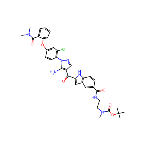 CN(C)C(=O)c1ccccc1Oc1ccc(-n2ncc(C(=O)c3cc4cc(C(=O)NCCN(C)C(=O)OC(C)(C)C)ccc4[nH]3)c2N)c(Cl)c1